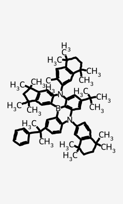 Cc1cc2c(cc1N1c3cc4c(cc3B3c5cc(C(C)(C)c6ccccc6)ccc5N(c5ccc6c(c5)C(C)(C)CCC6(C)C)c5cc(C(C)(C)C)cc1c53)C(C)(C)CC4(C)C)C(C)(C)CCC2(C)C